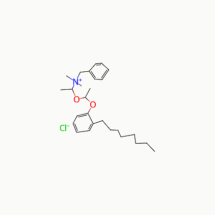 CCCCCCCCc1ccccc1OC(C)OC(C)[N+](C)(C)Cc1ccccc1.[Cl-]